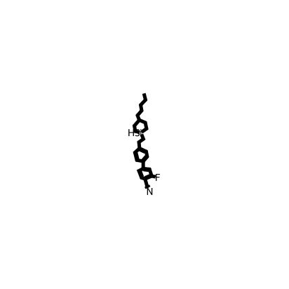 CCCCCC1CC[SiH](CCc2ccc(-c3ccc(C#N)c(F)c3)cc2)CC1